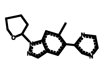 Cc1cc2c(cnn2C2CCCCO2)cc1-c1cnccn1